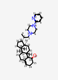 CC(CN1CCN(c2ccccn2)CC1)[C@H]1CC[C@H]2[C@@H]3CCC4=CCCC(=O)[C@]4(C)[C@H]3CC[C@]12C